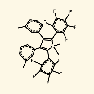 Cc1cccc(C2=C(c3c(F)c(F)c(F)c(F)c3F)[Si](C)(C)C(c3c(F)c(F)c(F)c(F)c3F)=C2c2cccc(C)c2)c1